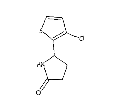 O=C1CCC(c2sccc2Cl)N1